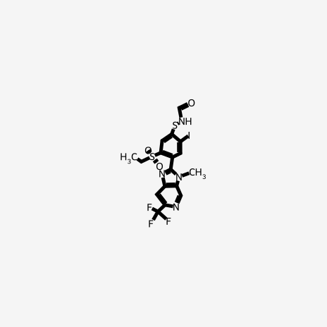 CCS(=O)(=O)c1cc(SNC=O)c(I)cc1-c1nc2cc(C(F)(F)F)ncc2n1C